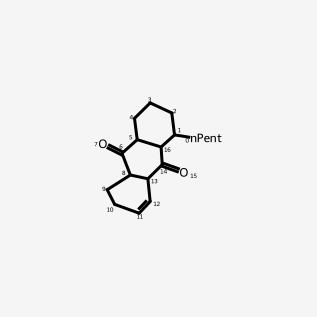 CCCCCC1CCCC2C(=O)C3CCC=CC3C(=O)C12